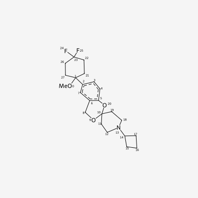 COC1(c2ccc3c(c2)COC2(CCN(C4CCC4)CC2)O3)CCC(F)(F)CC1